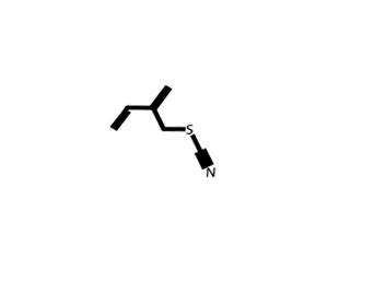 C=CC(=C)CSC#N